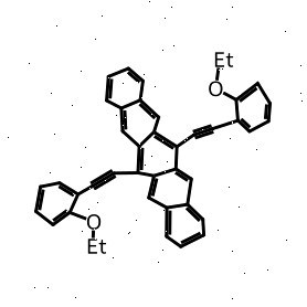 CCOc1ccccc1C#Cc1c2cc3ccccc3cc2c(C#Cc2ccccc2OCC)c2cc3ccccc3cc12